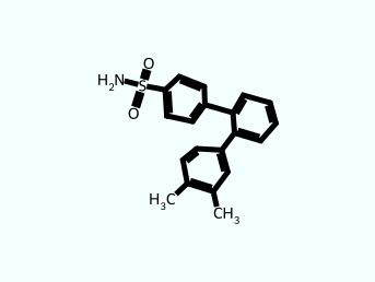 Cc1ccc(-c2ccccc2-c2ccc(S(N)(=O)=O)cc2)cc1C